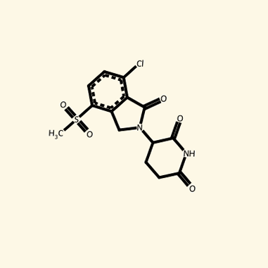 CS(=O)(=O)c1ccc(Cl)c2c1CN(C1CCC(=O)NC1=O)C2=O